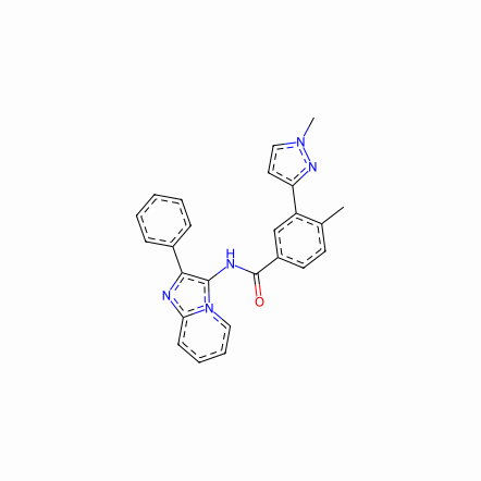 Cc1ccc(C(=O)Nc2c(-c3ccccc3)nc3ccccn23)cc1-c1ccn(C)n1